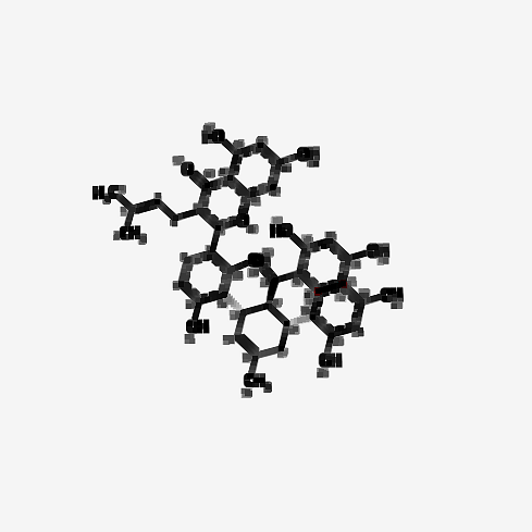 CC(C)=CCc1c(-c2ccc(O)c([C@H]3C=C(C)C[C@@H](c4ccc(O)cc4O)[C@@H]3C(=O)c3ccc(O)cc3O)c2O)oc2cc(O)cc(O)c2c1=O